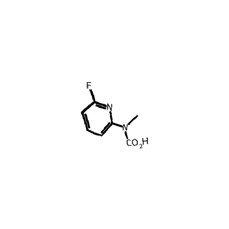 CN(C(=O)O)c1cccc(F)n1